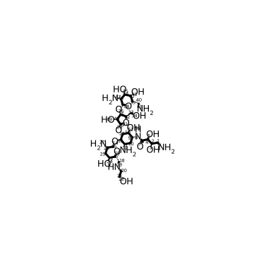 NC[C@@H](O)C(O)C(=O)N[C@@H]1C[C@H](N)[C@@H](O[C@H]2O[C@H](CNCCO)[C@@H](O)C[C@H]2N)[C@H](O[C@@H]2O[C@H](CO)[C@@H](O[C@H]3O[C@@H](CN)[C@@H](O)[C@H](O)[C@H]3N)[C@H]2O)[C@H]1O